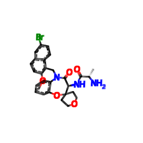 COc1ccc2cc(Br)ccc2c1CN1C(=O)[C@@H](NC(=O)[C@H](C)N)C2(CCOCC2)Oc2ccccc21